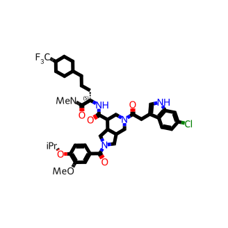 CNC(=O)[C@H](CCCC1CCC(C(F)(F)F)CC1)NC(=O)C1CN(C(=O)Cc2c[nH]c3cc(Cl)ccc23)CC2CN(C(=O)c3ccc(OC(C)C)c(OC)c3)CC21